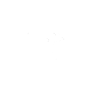 C[Si](C)(C)CCOCn1cc(-c2ccccc2)c2c(Cl)nc(Cl)nc21